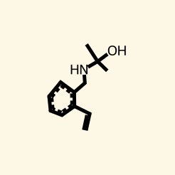 C=Cc1ccccc1CNC(C)(C)O